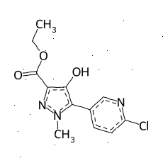 CCOC(=O)c1nn(C)c(-c2ccc(Cl)nc2)c1O